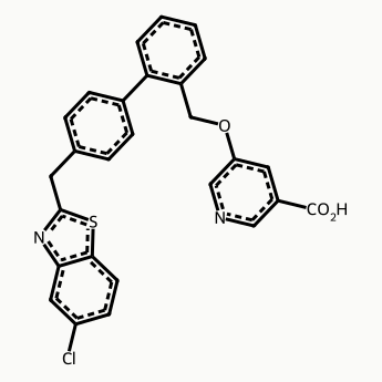 O=C(O)c1cncc(OCc2ccccc2-c2ccc(Cc3nc4cc(Cl)ccc4s3)cc2)c1